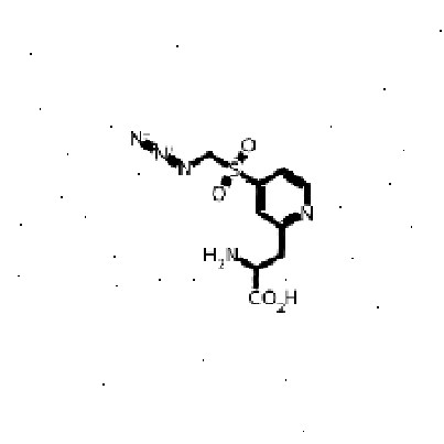 [N-]=[N+]=NCS(=O)(=O)c1ccnc(CC(N)C(=O)O)c1